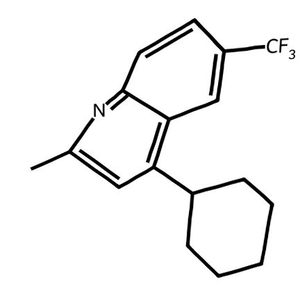 Cc1cc(C2CCCCC2)c2cc(C(F)(F)F)ccc2n1